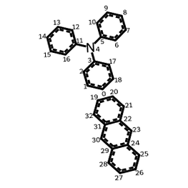 c1ccc(N(c2ccccc2)c2ccccc2)cc1.c1ccc2cc3ccccc3cc2c1